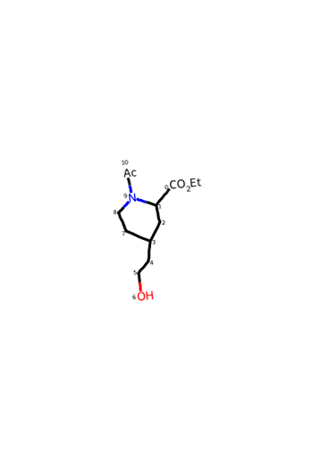 CCOC(=O)C1CC(CCO)CCN1C(C)=O